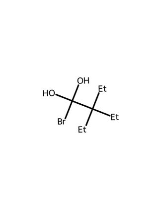 CCC(CC)(CC)C(O)(O)Br